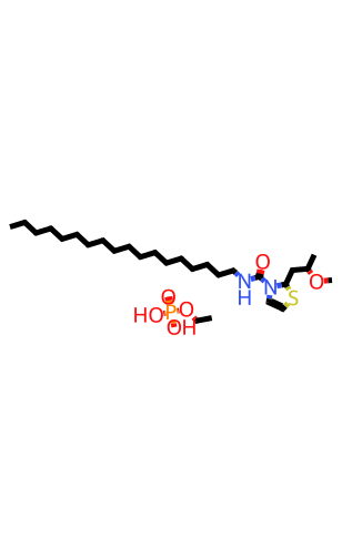 CCCCCCCCCCCCCCCCCCNC(=O)N1C=CSC1CC(C)OC.CCOP(=O)(O)O